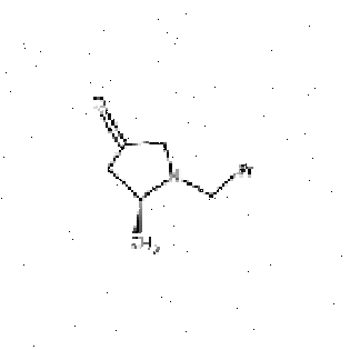 C[C](C)CN1CC(=O)C[C@@H]1C